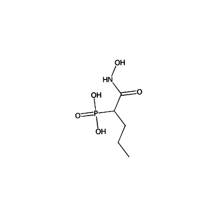 CCCC(C(=O)NO)P(=O)(O)O